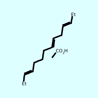 CC(=O)O.CCC=CCC=CCCCC=CCC